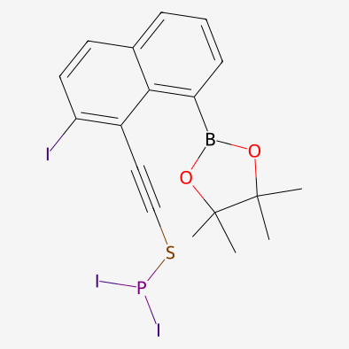 CC1(C)OB(c2cccc3ccc(I)c(C#CSP(I)I)c23)OC1(C)C